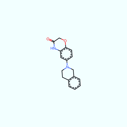 O=C1COc2ccc(N3CCc4ccccc4C3)cc2N1